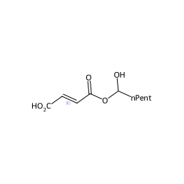 CCCCCC(O)OC(=O)/C=C/C(=O)O